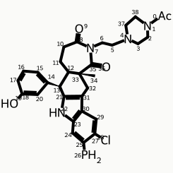 CC(=O)N1CCN(CCN2C(=O)CCC3[C@H](c4cccc(O)c4)c4[nH]c5cc(P)c(Cl)cc5c4C[C@@]3(C)C2=O)CC1